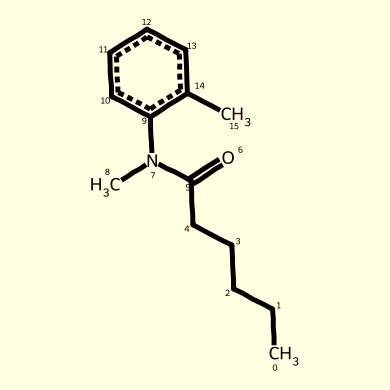 CCCCCC(=O)N(C)c1ccccc1C